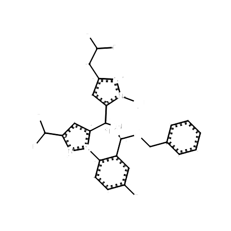 C[C@@H](OCc1ccccc1)c1cc(F)ccc1-n1nc(C(F)F)cc1C(O)c1cc(CC(F)F)nn1C